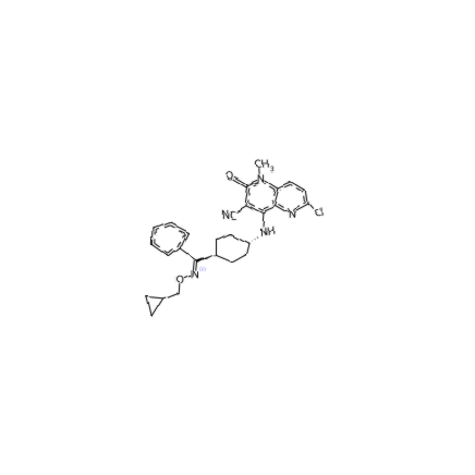 Cn1c(=O)c(C#N)c(N[C@H]2CC[C@H](/C(=N/OCC3CC3)c3ccccc3)CC2)c2nc(Cl)ccc21